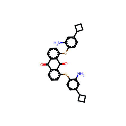 Nc1cc(C2CCC2)ccc1Sc1cccc2c1C(=O)c1c(Sc3ccc(C4CCC4)cc3N)cccc1C2=O